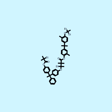 CCC(C)(CC)Oc1ccc(C(C)(C)c2ccc(OC(=O)C(C)(C)C(C)(CC)Oc3ccc(C(C)(c4ccccc4)c4ccc(OC(=O)C(C)(C)CC)cc4)cc3)c(C)c2)cc1C